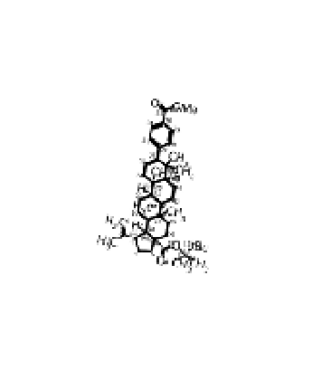 C=C(C)[C@@H]1CC[C@]2(C(=O)O[Si](C)(C)C(C)(C)C)CC[C@]3(C)C(CC[C@@H]4[C@@]5(C)CC=C(c6ccc(C(=O)OC)cc6)C(C)(C)[C@@H]5CC[C@]43C)[C@@H]12